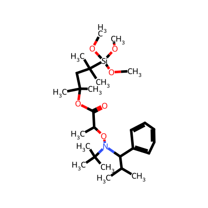 CO[Si](OC)(OC)C(C)(C)CC(C)(C)OC(=O)C(C)ON(C(c1ccccc1)C(C)C)C(C)(C)C